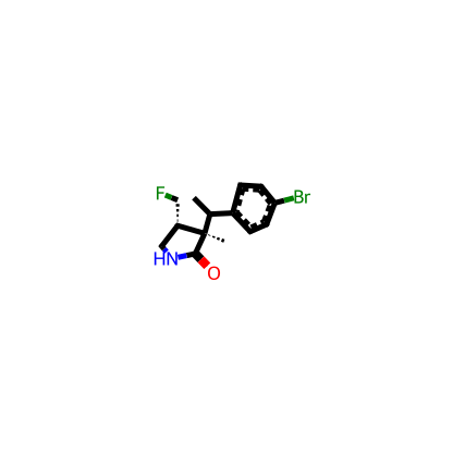 CC(c1ccc(Br)cc1)[C@@]1(C)C(=O)NC[C@@H]1CF